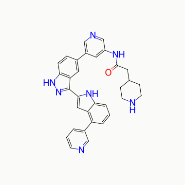 O=C(CC1CCNCC1)Nc1cncc(-c2ccc3[nH]nc(-c4cc5c(-c6cccnc6)cccc5[nH]4)c3c2)c1